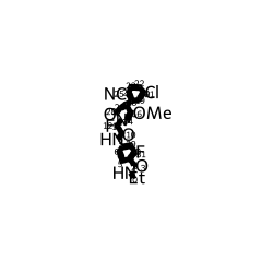 CCNC(=O)c1ccc(NC(=O)C(F)n2cc(OC)c(-c3cc(Cl)ccc3C#N)cc2=O)cc1F